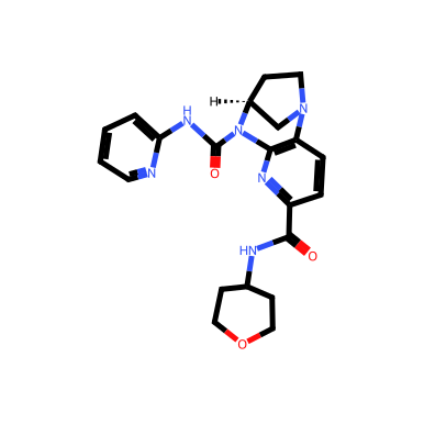 O=C(NC1CCOCC1)c1ccc2c(n1)N(C(=O)Nc1ccccn1)[C@H]1CCN2C1